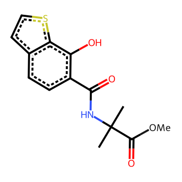 COC(=O)C(C)(C)NC(=O)c1ccc2ccsc2c1O